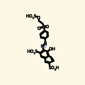 O=S(=O)(O)OCCS(=O)(=O)c1ccc(/N=N/c2c(S(=O)(=O)O)cc3cc(S(=O)(=O)O)ccc3c2O)cc1